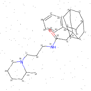 CC1C2CC3CC1CC(C2)C3(CC(=O)NCCCN1CCCCC1C)c1ccccc1